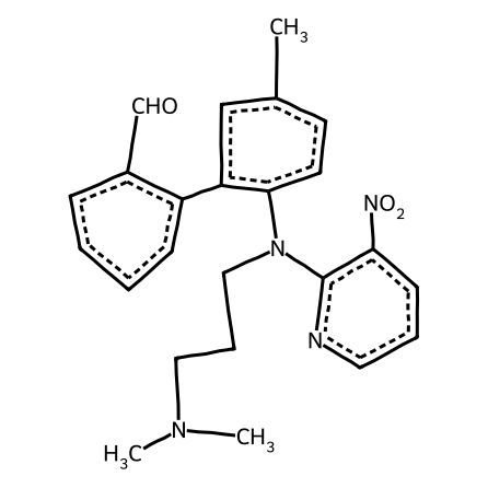 Cc1ccc(N(CCCN(C)C)c2ncccc2[N+](=O)[O-])c(-c2ccccc2C=O)c1